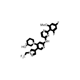 COc1cc(F)cc(F)c1-c1nccc(Nc2cc(N3CCC[C@H](O)C3)c(-c3cnn(CC(F)(F)F)c3)cn2)n1